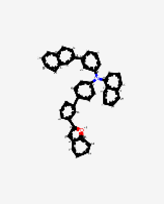 c1cc(-c2ccc(N(c3cccc(-c4ccc5ccccc5c4)c3)c3cccc4ccccc34)cc2)cc(-c2cc3ccccc3o2)c1